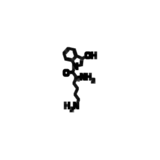 NCCCC[C@H](N)C(=O)n1cc(O)c2ccccc21